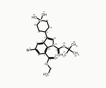 CCOC(=O)c1cc(Br)cc2c(C3CCS(O)(O)CC3)cn(C(=O)OC(C)(C)C)c12